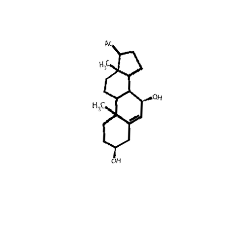 CC(=O)C1CCC2C3C(CCC12C)C1(C)CC[C@H](O)CC1=C[C@@H]3O